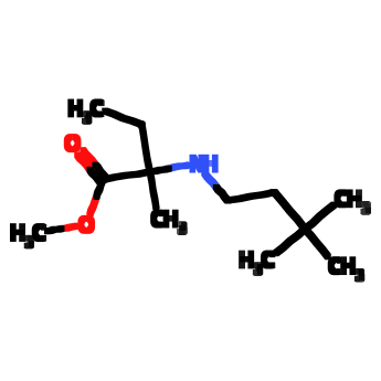 CCC(C)(NCCC(C)(C)C)C(=O)OC